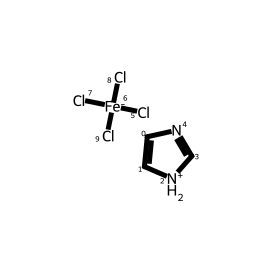 C1=C[NH2+]C=N1.[Cl][Fe-]([Cl])([Cl])[Cl]